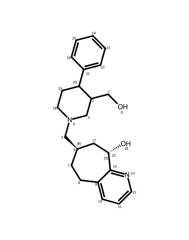 OCC1CN(C[C@@H]2CCc3cccnc3[C@@H](O)C2)CCC1c1ccccc1